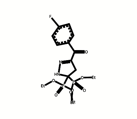 CCOP(=O)(OCC)C1(P(=O)(OCC)OCC)CC(C(=O)c2ccc(F)cc2)=NN1